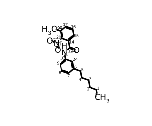 CCCCCCc1cccc(NC(=O)c2cccc(C)c2[N+](=O)[O-])c1